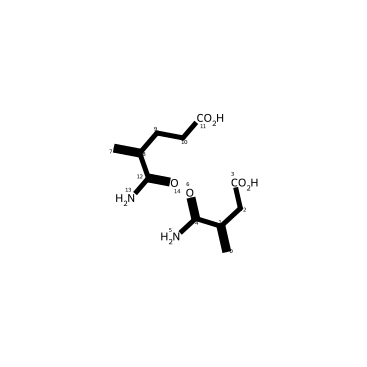 C=C(CC(=O)O)C(N)=O.C=C(CCC(=O)O)C(N)=O